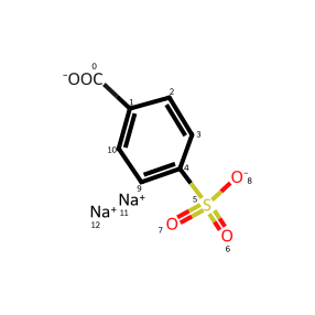 O=C([O-])c1ccc(S(=O)(=O)[O-])cc1.[Na+].[Na+]